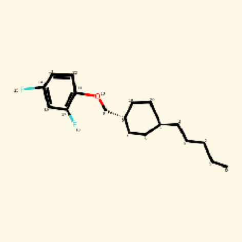 CCCCC[C@H]1CC[C@H](COc2ccc(F)cc2F)CC1